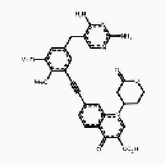 COc1cc(Cc2cnc(N)nc2N)cc(C#Cc2ccc3c(=O)c(C(=O)O)cn(C4CCOC(=O)C4)c3c2)c1OC